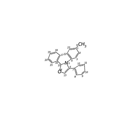 Cc1ccc(N2C(c3ccccc3)=COC2c2ccccc2)cc1